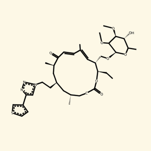 CC[C@H]1OC(=O)CC[C@H](C)C[C@@H](CCn2cc(-c3ccsc3)nn2)C[C@@H](C)C(=O)/C=C/C(C)=C/[C@@H]1CO[C@@H]1OC(C)[C@@H](O)[C@H](OC)C1OC